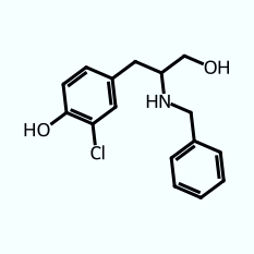 OCC(Cc1ccc(O)c(Cl)c1)NCc1ccccc1